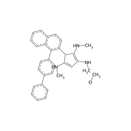 CNC1=CC(NC)=C(NC)C1c1ccc2ccccc2c1-c1ccc(-c2ccccc2)cc1.C[O]